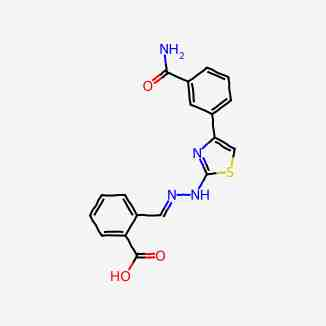 NC(=O)c1cccc(-c2csc(NN=Cc3ccccc3C(=O)O)n2)c1